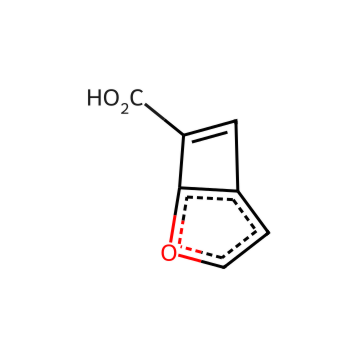 O=C(O)C1=Cc2ccoc21